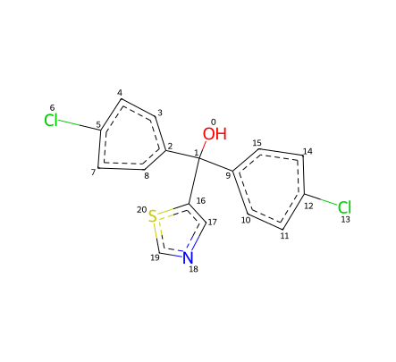 OC(c1ccc(Cl)cc1)(c1ccc(Cl)cc1)c1cncs1